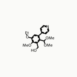 CCOc1cc(-c2ccncc2)c(C(OC)OC)c(CO)c1OC